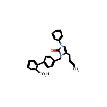 CC=CCc1cn(-c2ccccc2)c(=O)n1Cc1ccc(-c2ccccc2C(=O)O)cc1